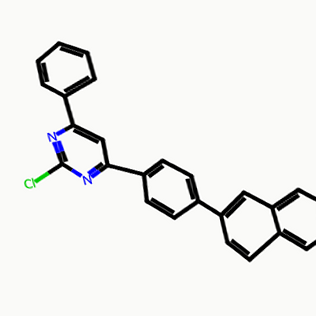 Clc1nc(-c2ccccc2)cc(-c2ccc(-c3ccc4ccccc4c3)cc2)n1